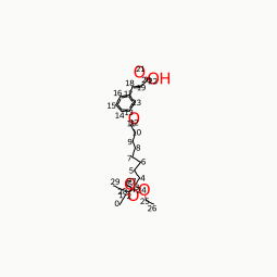 CCO[Si](CCCCCCCCOc1cccc(C=CC(=O)O)c1)(OCC)OCC